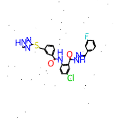 O=C(Nc1ccc(Cl)cc1C(=O)N/N=C/c1cccc(F)c1)c1cccc(CSc2nc[nH]n2)c1